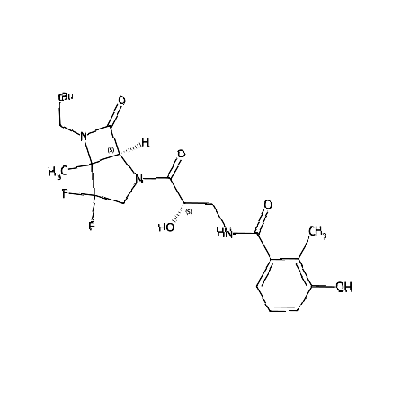 Cc1c(O)cccc1C(=O)NC[C@H](O)C(=O)N1CC(F)(F)C2(C)[C@H]1C(=O)N2CC(C)(C)C